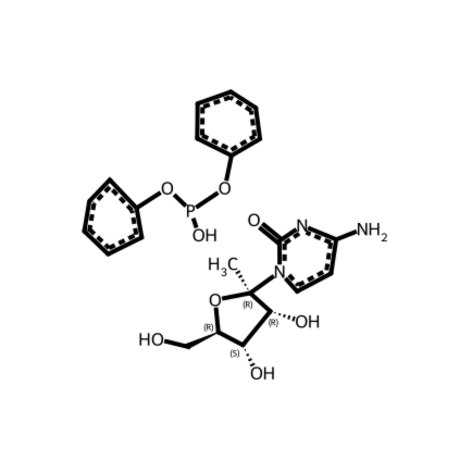 C[C@@]1(n2ccc(N)nc2=O)O[C@H](CO)[C@@H](O)[C@H]1O.OP(Oc1ccccc1)Oc1ccccc1